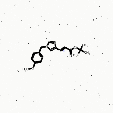 COc1ccc(Cn2cnc(/C=C/C(=O)OC(C)(C)C)c2)cc1